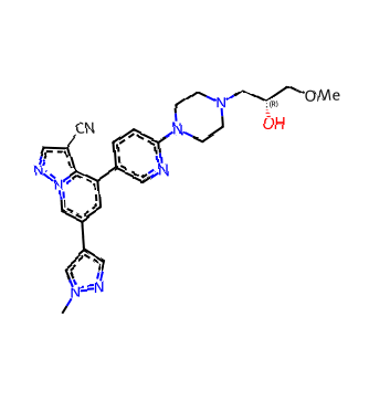 COC[C@H](O)CN1CCN(c2ccc(-c3cc(-c4cnn(C)c4)cn4ncc(C#N)c34)cn2)CC1